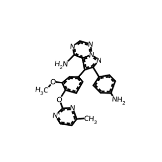 COc1cc(-c2c(-c3ccc(N)cc3)nn3ncnc(N)c23)ccc1Oc1nccc(C)n1